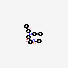 c1ccc(-c2ccc(N(c3ccc4c(c3)oc3ccccc34)c3ccc4oc5ccc6oc(-c7ccccc7)nc6c5c4c3)cc2)cc1